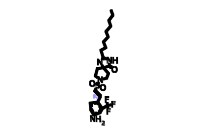 CCCCCCCCCC1=NC2(CCN(S(=O)(=O)/C=C/c3ccc(N)cc3C(F)(F)F)CC2)C(=O)N1